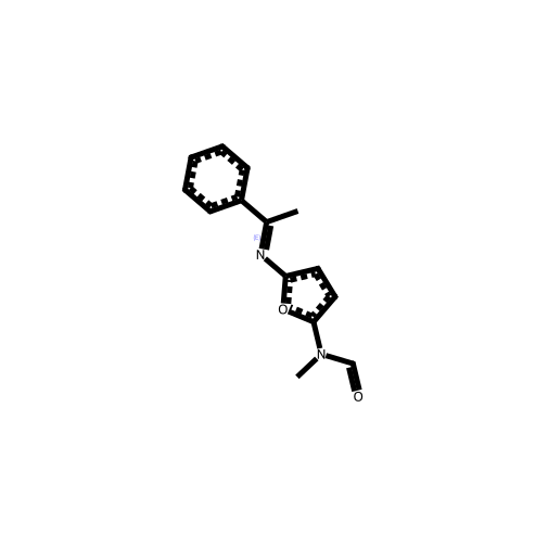 C/C(=N\c1ccc(N(C)C=O)o1)c1ccccc1